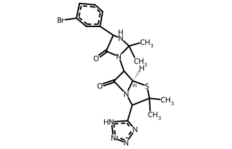 CC1(C)S[C@@H]2C(N3C(=O)C(c4cccc(Br)c4)NC3(C)C)C(=O)N2C1c1nnn[nH]1